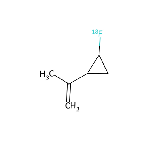 C=C(C)C1CC1[18F]